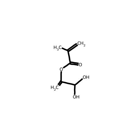 C=C(C)C(=O)OC(=C)C(O)O